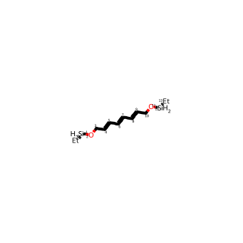 CC[SiH2]OCC=CC=CC=CCO[SiH2]CC